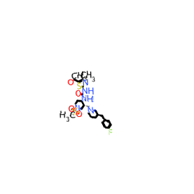 CC(=O)c1sc(NC(=O)N[C@@H]2CCN(S(C)(=O)=O)C[C@H]2CN2CCCC(Cc3ccc(F)cc3)C2)nc1C